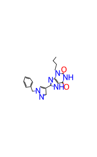 CCCCn1c(=O)[nH]c(=O)c2[nH]c(-c3cnn(Cc4ccccc4)c3)nc21